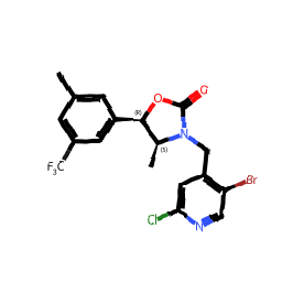 Cc1cc([C@H]2OC(=O)N(Cc3cc(Cl)ncc3Br)[C@H]2C)cc(C(F)(F)F)c1